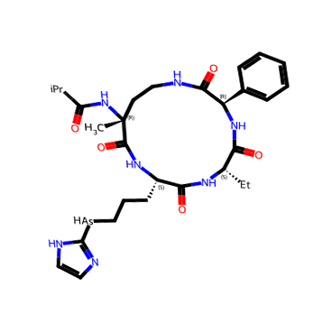 CC[C@@H]1NC(=O)[C@H](CCC[AsH]c2ncc[nH]2)NC(=O)[C@](C)(NC(=O)C(C)C)CCNC(=O)[C@@H](c2ccccc2)NC1=O